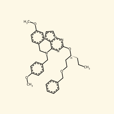 CCC[C@H](CCOCc1ccccc1)Oc1nc(N(Cc2ccc(OC)cc2)Cc2ccc(OC)cc2)c2nccn2n1